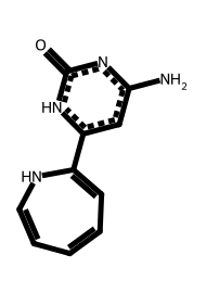 Nc1cc(C2=CC=CC=CN2)[nH]c(=O)n1